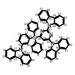 c1ccc([Si](c2ccccc2)(c2cccc(-n3c4ccccc4c4ccccc43)c2)c2cc(-n3c4ccccc4c4ccccc43)nc(-n3c4ccccc4c4ccccc43)n2)cc1